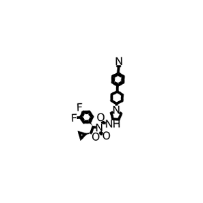 N#Cc1ccc(C2CCC(N3CC[C@@H](NC(=O)N4C(=O)O[C@@H](C5CC5)[C@@H]4c4ccc(F)c(F)c4)C3)CC2)cc1